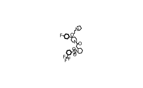 O=C(CC1CCCCN1S(=O)(=O)c1cccc(C(F)(F)F)c1)N1CCC(OCCN2CCCC2)(c2ccc(F)cc2)CC1